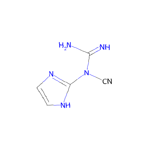 N#CN(C(=N)N)c1ncc[nH]1